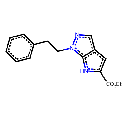 CCOC(=O)c1cc2cnn(CCc3ccccc3)c2[nH]1